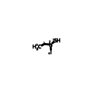 CCN(S)I